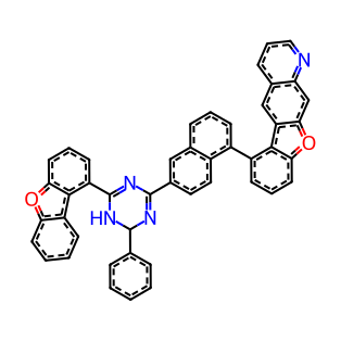 c1ccc(C2N=C(c3ccc4c(-c5cccc6oc7cc8ncccc8cc7c56)cccc4c3)N=C(c3cccc4oc5ccccc5c34)N2)cc1